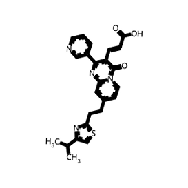 CC(C)c1csc(CCc2ccn3c(=O)c(C=CC(=O)O)c(-c4cccnc4)nc3c2)n1